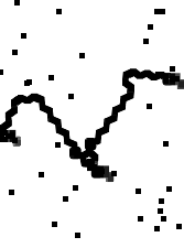 CCCCC/C=C\C/C=C\CCCCCCCCOC1CN(C)CC1OCCCCCCCC/C=C\C/C=C\CCCCC